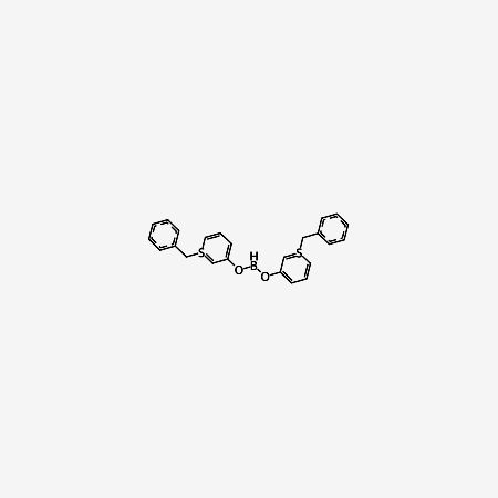 B(OC1=CC=CS(Cc2ccccc2)=C1)OC1=CC=CS(Cc2ccccc2)=C1